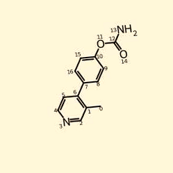 Cc1cnccc1-c1ccc(OC(N)=O)cc1